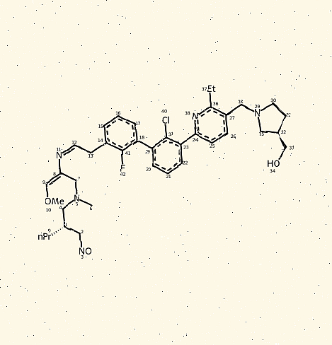 CCC[C@@H](CN=O)CN(C)CC(=C\OC)/N=C\Cc1cccc(-c2cccc(-c3ccc(CN4CC[C@@H](CO)C4)c(CC)n3)c2Cl)c1F